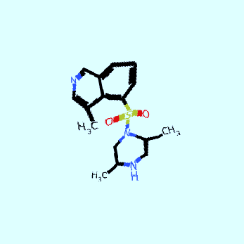 Cc1cncc2cccc(S(=O)(=O)N3CC(C)NCC3C)c12